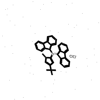 CC1C=C(C(C)(C)C)C=[C]1[Zr+2](=[C]1c2ccccc2-c2ccccc21)[CH]1c2ccccc2-c2ccccc21.[Cl-].[Cl-]